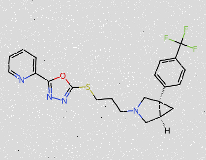 FC(F)(F)c1ccc([C@]23C[C@H]2CN(CCCSc2nnc(-c4ccccn4)o2)C3)cc1